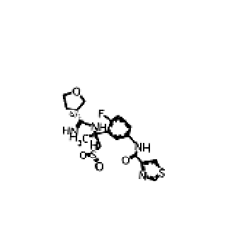 C[C@@](C[SH](=O)=O)(NC(=N)[C@@H]1CCOC1)c1cc(NC(=O)c2cscn2)ccc1F